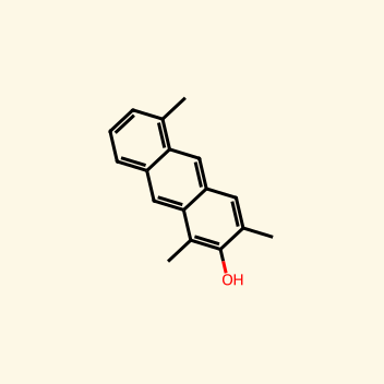 Cc1cc2cc3c(C)cccc3cc2c(C)c1O